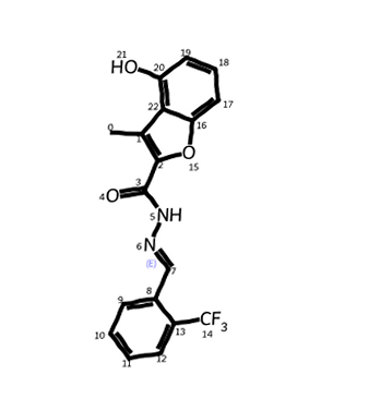 Cc1c(C(=O)N/N=C/c2ccccc2C(F)(F)F)oc2cccc(O)c12